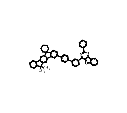 CC1(C)c2ccccc2-c2cc3c(cc21)-c1cc(-c2ccc(-c4cccc(-c5nc(-c6ccccc6)nc6c5oc5ccccc56)c4)cc2)ccc1C31CCCCC1